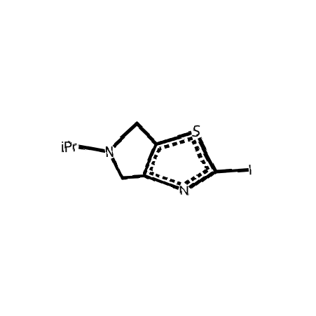 CC(C)N1Cc2nc(I)sc2C1